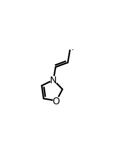 [CH2]C=CN1C=COC1